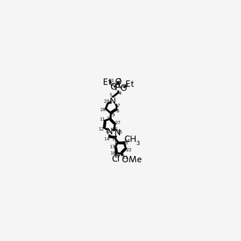 CCOP(=O)(CCN1CC=C(c2ccn3cc(-c4cc(Cl)c(OC)cc4C)nc3c2)CC1)OCC